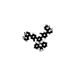 Cc1cc(-c2ccnc3ncccc23)ccc1-c1cc(-c2ccc(-c3ccnc4ncccc34)cc2C)cc(N2c3ccccc3C(C)(C)c3ccccc32)c1